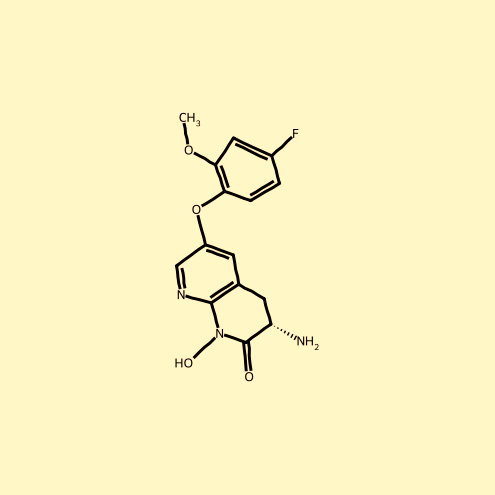 COc1cc(F)ccc1Oc1cnc2c(c1)C[C@H](N)C(=O)N2O